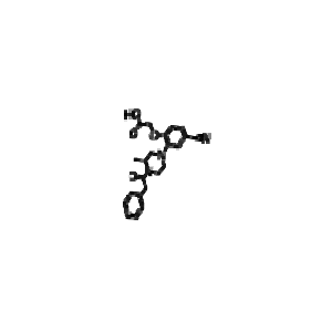 C[C@H]1CN(c2cc(C#N)ccc2OCC(=O)O)CCN1C(=O)Cc1ccccc1